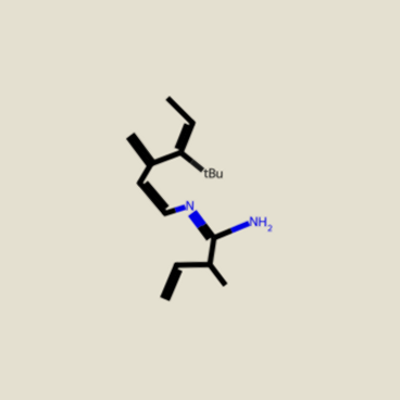 C=CC(C)/C(N)=N\C=C/C(=C)/C(=C\C)C(C)(C)C